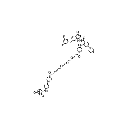 CN1CCN(c2ccc(C(=O)Nc3n[nH]c4ccc(Cc5cc(F)cc(F)c5)cc34)c(NC3CCN(C(=O)CCOCCOCCOCCOCCC(=O)N4CCN(c5ccc(NC6CCC(=O)NC6=O)cc5)CC4)CC3)c2)CC1